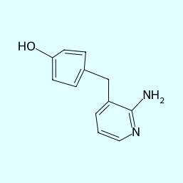 Nc1ncccc1Cc1ccc(O)cc1